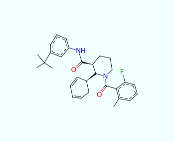 Cc1cccc(F)c1C(=O)N1CCC[C@H](C(=O)Nc2cccc(C(C)(C)C)c2)C1[C@@H]1C=CC=CC1